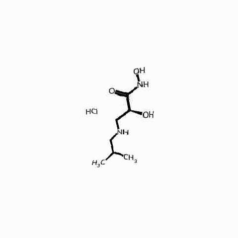 CC(C)CNC[C@H](O)C(=O)NO.Cl